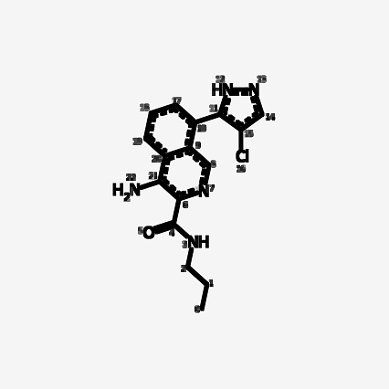 CCCNC(=O)c1ncc2c(-c3[nH]ncc3Cl)cccc2c1N